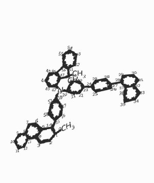 CC1C=Cc2c(ccc3ccccc23)C1c1ccc(N(c2ccc(-c3ccc(-c4cccc5ccccc45)cc3)cc2)c2cccc3c2C(C)(C)c2ccccc2-3)cc1